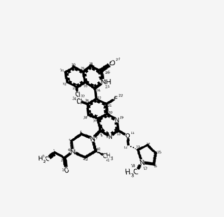 C=CC(=O)N1CCN(c2nc(OC[C@@H]3CCCN3C)nc3c(F)c(-c4[nH]c(=O)cc5cccc(Cl)c45)c(Cl)cc23)[C@@H](C)C1